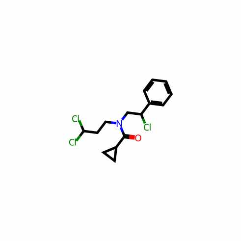 O=C(C1CC1)N(CCC(Cl)Cl)CC(Cl)c1ccccc1